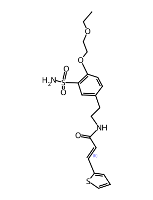 CCOCCOc1ccc(CCNC(=O)/C=C/c2cccs2)cc1S(N)(=O)=O